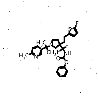 Cc1ccc(C(C)(C)N2CCC(CCc3ccc(F)s3)(C(F)(F)NC(=O)Oc3ccccc3)C2)cn1